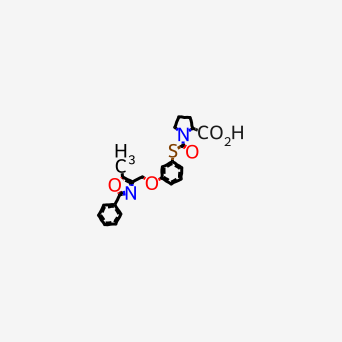 Cc1oc(-c2ccccc2)nc1COc1cccc(SC(=O)N2CCCC2C(=O)O)c1